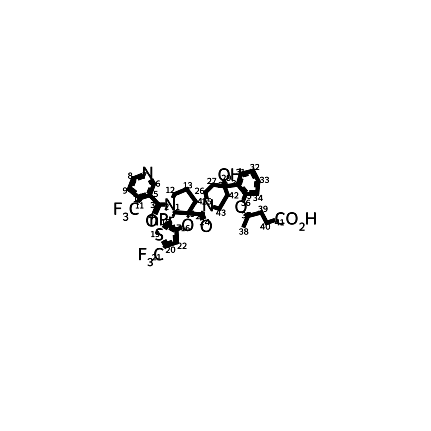 CCC[C@H]1N(C(=O)c2cnccc2C(F)(F)F)CCC[C@@]1(Oc1csc(C(F)(F)F)c1)C(=O)N1CCC(O)(c2ccccc2OC(C)CCC(=O)O)CC1